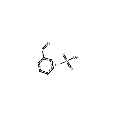 O=Ic1ccccc1.O=S(=O)(O)O